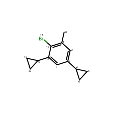 Cc1cc(C2CC2)cc(C2CC2)c1Br